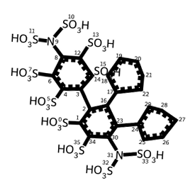 O=S(=O)(O)c1c(-c2c(S(=O)(=O)O)c(S(=O)(=O)O)c(N(S(=O)(=O)O)S(=O)(=O)O)c(S(=O)(=O)O)c2S(=O)(=O)O)c(-c2ccccc2)c(-c2ccccc2)c(N(S(=O)(=O)O)S(=O)(=O)O)c1S(=O)(=O)O